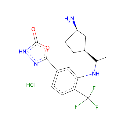 CC(Nc1cc(-c2n[nH]c(=O)o2)ccc1C(F)(F)F)[C@H]1CC[C@@H](N)C1.Cl